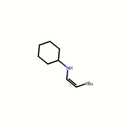 CC(C)(C)/C=C\NC1CCCCC1